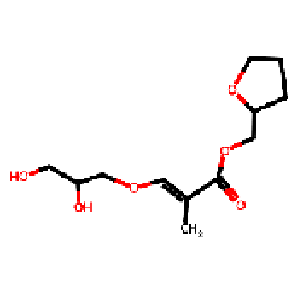 CC(=COCC(O)CO)C(=O)OCC1CCCO1